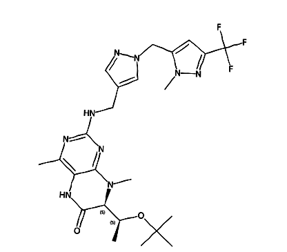 Cc1nc(NCc2cnn(Cc3cc(C(F)(F)F)nn3C)c2)nc2c1NC(=O)[C@H]([C@H](C)OC(C)(C)C)N2C